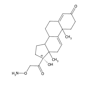 CC12CCC(=O)C=C1CCC1C2=CCC2(C)C1CC[C@]2(O)C(=O)CON